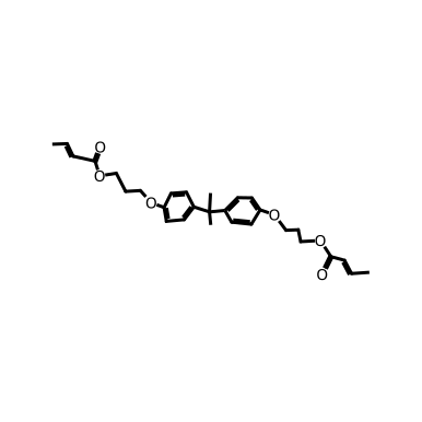 CC=CC(=O)OCCCOc1ccc(C(C)(C)c2ccc(OCCCOC(=O)C=CC)cc2)cc1